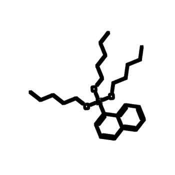 CCCCCO[Si](OCCCCC)(OCCCCC)c1cccc2ccccc12